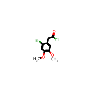 COc1cc(Br)c(CC(=O)Cl)cc1OC